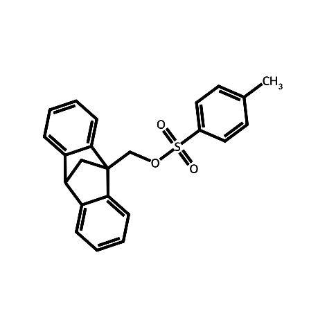 Cc1ccc(S(=O)(=O)OCC23CC(c4ccccc42)c2ccccc23)cc1